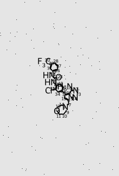 Nc1ncnn2c(CN3CCCOCC3)cc(-c3ccc(NC(=O)Nc4cccc(C(F)(F)F)c4)c(Cl)c3)c12